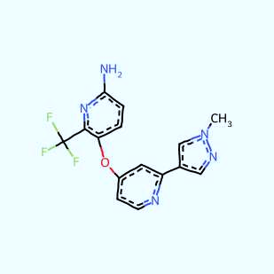 Cn1cc(-c2cc(Oc3ccc(N)nc3C(F)(F)F)ccn2)cn1